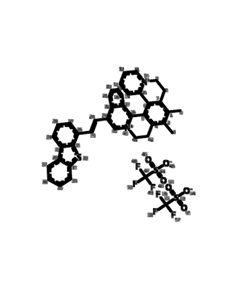 Cc1c(C)c2c(c3c1CC[n+]1ccccc1-3)-c1c3ccccc3c(C=Cc3cccc4c3sc3ccccc34)c[n+]1CC2.O=S(=O)([O-])C(F)(F)F.O=S(=O)([O-])C(F)(F)F